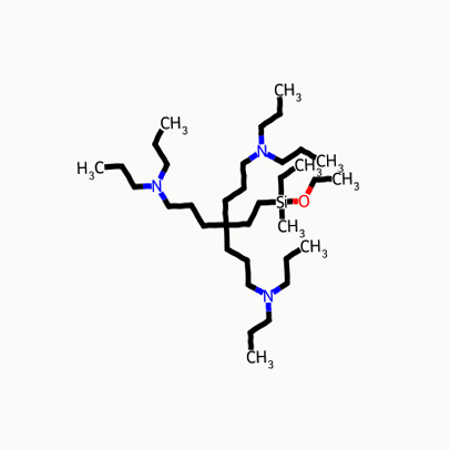 CCCN(CCC)CCCC(CCCN(CCC)CCC)(CCCN(CCC)CCC)CC[Si](C)(CC)OCC